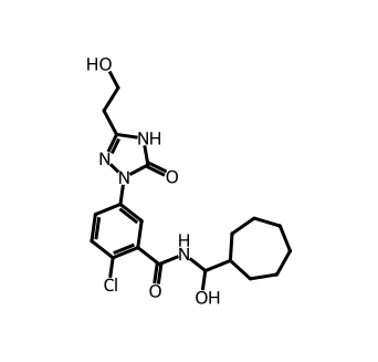 O=C(NC(O)C1CCCCCC1)c1cc(-n2nc(CCO)[nH]c2=O)ccc1Cl